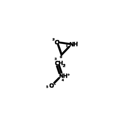 C1NO1.C=[NH+][O-]